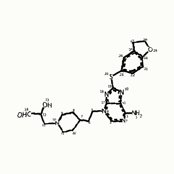 Nc1ncn(CCC2CCN(CC(O)C=O)CC2)c2nc(Sc3ccc4c(c3)CCO4)nc1-2